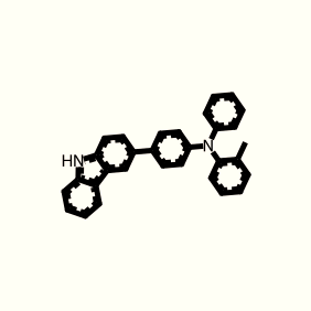 Cc1ccccc1N(c1ccccc1)c1ccc(-c2ccc3[nH]c4ccccc4c3c2)cc1